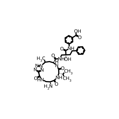 CC(C)[C@@H]1NC(=O)[C@@H](N)CNC(=O)c2nnn(n2)C(C)C[C@@H](C(=O)NC[C@](O)(CCc2ccccc2)C(=O)Nc2cccc(C(=O)O)c2)NC1=O